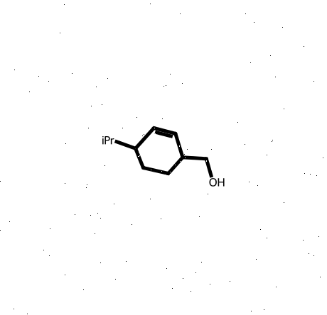 CC(C)C1C=CC(CO)CC1